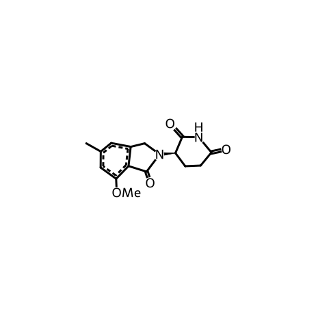 COc1cc(C)cc2c1C(=O)N([C@@H]1CCC(=O)NC1=O)C2